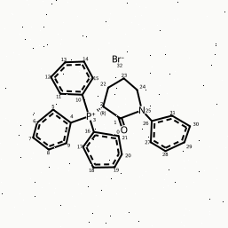 O=C1[C@H]([P+](c2ccccc2)(c2ccccc2)c2ccccc2)CCCN1c1ccccc1.[Br-]